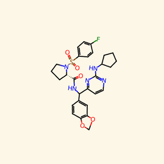 O=C(NC(c1ccc2c(c1)OCO2)c1ccnc(NC2CCCC2)n1)[C@@H]1CCCN1S(=O)(=O)c1ccc(F)cc1